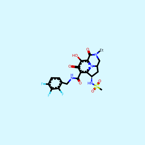 CCN1CC2C[C@@H](NS(C)(=O)=O)c3c(C(=O)NCc4ccc(F)c(F)c4F)c(=O)c(O)c(n32)C1=O